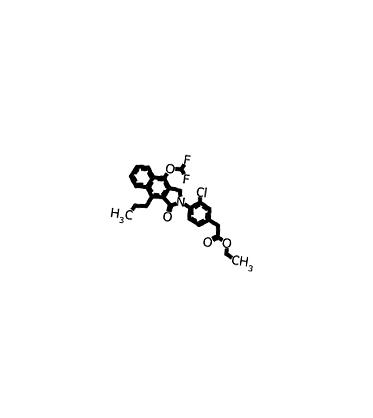 CCCc1c2c(c(OC(F)F)c3ccccc13)CN(c1ccc(CC(=O)OCC)cc1Cl)C2=O